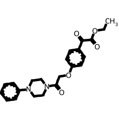 CCOC(=O)C(=O)c1ccc(OCC(=O)N2CCN(c3ccccc3)CC2)cc1